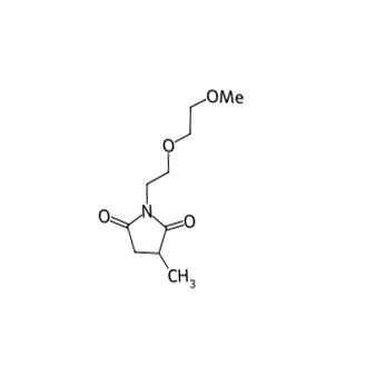 COCCOCCN1C(=O)CC(C)C1=O